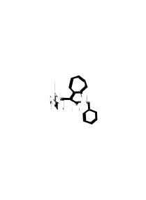 O=c1c(-c2nnn[nH]2)c2cccccc-2n1CC1C=CC=CC1